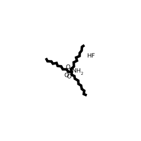 CCCCCCCCCC(=O)C(N)(C(=O)CCCCCCCCC)C(=O)CCCCCCCCC.F